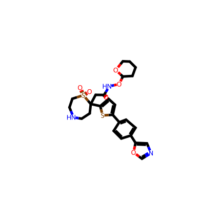 O=C(CC1(c2ccc(-c3ccc(-c4cnco4)cc3)s2)CCNCCS1(=O)=O)NOC1CCCCO1